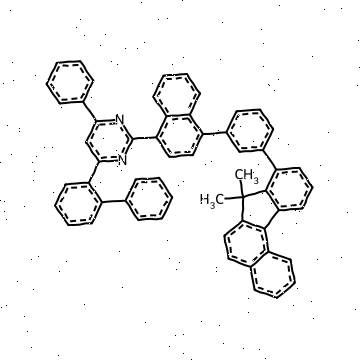 CC1(C)c2ccc3ccccc3c2-c2cccc(-c3cccc(-c4ccc(-c5nc(-c6ccccc6)cc(-c6ccccc6-c6ccccc6)n5)c5ccccc45)c3)c21